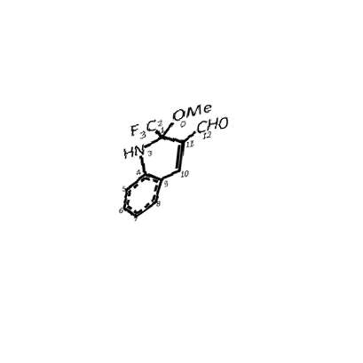 COC1(C(F)(F)F)Nc2ccccc2C=C1C=O